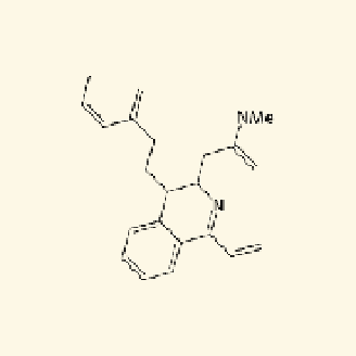 C=CC1=NC(CC(=C)NC)C(CCC(=C)/C=C\C)c2ccccc21